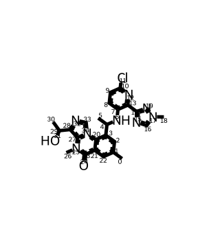 Cc1cc(C(C)Nc2ccc(Cl)nc2-c2ncn(C)n2)c2c(c1)c(=O)n(C)c1c(C(C)O)ncn21